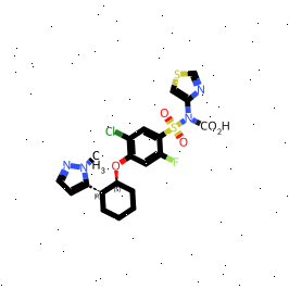 Cn1nccc1[C@H]1CCCC[C@@H]1Oc1cc(F)c(S(=O)(=O)N(C(=O)O)c2cscn2)cc1Cl